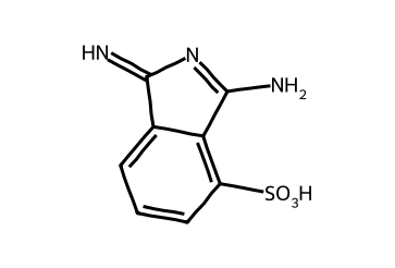 N=C1N=C(N)c2c1cccc2S(=O)(=O)O